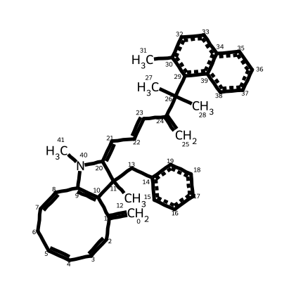 C=C1/C=C\C=C/C/C=C\C2=C1C(C)(Cc1ccccc1)/C(=C\C=C\C(=C)C(C)(C)c1c(C)ccc3ccccc13)N2C